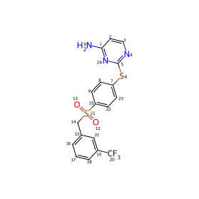 Nc1ccnc(Sc2ccc(S(=O)(=O)Cc3cccc(C(F)(F)F)c3)cc2)n1